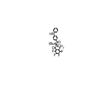 CN(C(=O)c1c(F)c(F)c(F)c(F)c1F)N(C(=O)c1ccc(Nc2ccccc2)cc1)C(C)(C)C